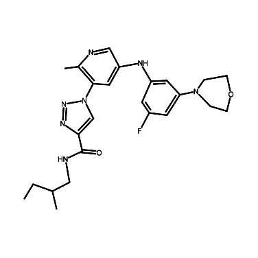 CCC(C)CNC(=O)c1cn(-c2cc(Nc3cc(F)cc(N4CCOCC4)c3)cnc2C)nn1